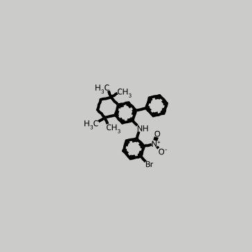 CC1(C)CCC(C)(C)c2cc(-c3ccccc3)c(Nc3cccc(Br)c3[N+](=O)[O-])cc21